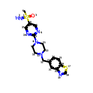 CS(=N)(=O)c1cnc(N2CCN(Cc3ccc4scnc4c3)CC2)nc1